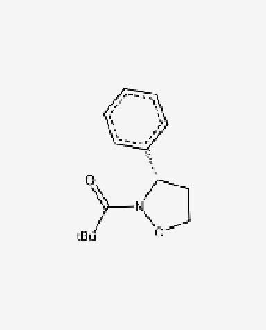 CC(C)(C)C(=O)N1OCC[C@H]1c1ccccc1